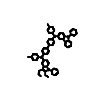 C/C=C\c1c(CC)n(-c2ccccc2)c2ccc(N(c3ccc(C)cc3)c3ccc(-c4ccc(N(c5ccc(C)cc5)c5ccc6c(c5)c5ccccc5n6-c5ccccc5)cc4)cc3)cc12